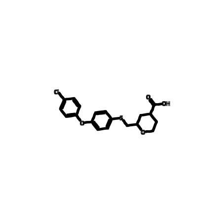 O=C(O)C1CCOC(CSc2ccc(Oc3ccc(Cl)cc3)cc2)C1